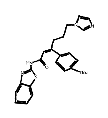 CC(C)(C)c1ccc(C(=CC(=O)Nc2nc3ccccc3s2)CCCn2ccnc2)cc1